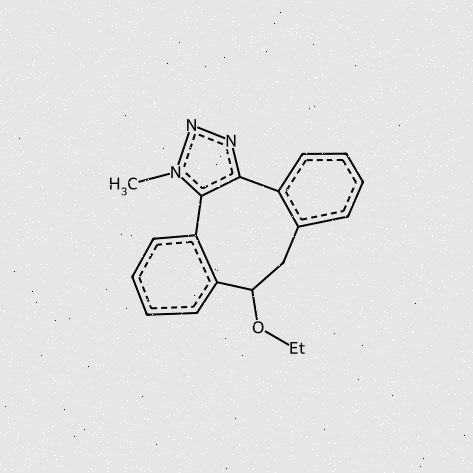 CCOC1Cc2ccccc2-c2nnn(C)c2-c2ccccc21